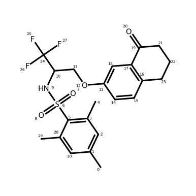 Cc1cc(C)c(S(=O)(=O)NC(COc2ccc3c(c2)C(=O)CCC3)C(F)(F)F)c(C)c1